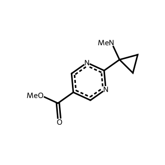 CNC1(c2ncc(C(=O)OC)cn2)CC1